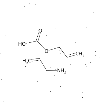 C=CCN.C=CCOC(=O)O